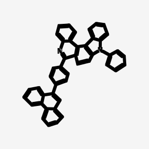 c1ccc(-n2c3ccccc3c3c4c(ccc32)c(-c2ccc(-c3cc5ccccc5c5ccccc35)cc2)nc2ccccc24)cc1